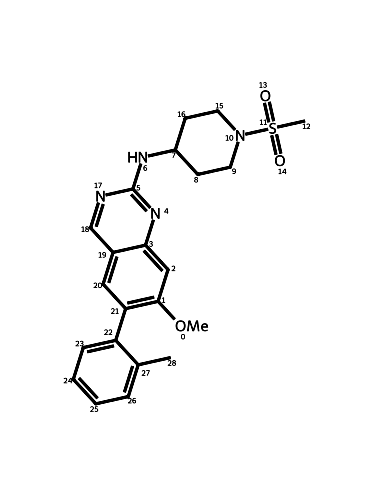 COc1cc2nc(NC3CCN(S(C)(=O)=O)CC3)ncc2cc1-c1ccccc1C